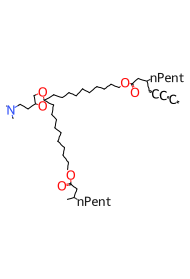 C=C=C=C=CC(CCCCC)CC(=O)OCCCCCCCCCCC1(CCCCCCCCCCOC(=O)CC(C)CCCCC)OCC(CCN(C)C)O1